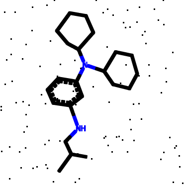 CC(C)CNc1cccc(N(C2CCCCC2)C2CCCCC2)c1